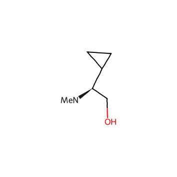 CN[C@H](CO)C1CC1